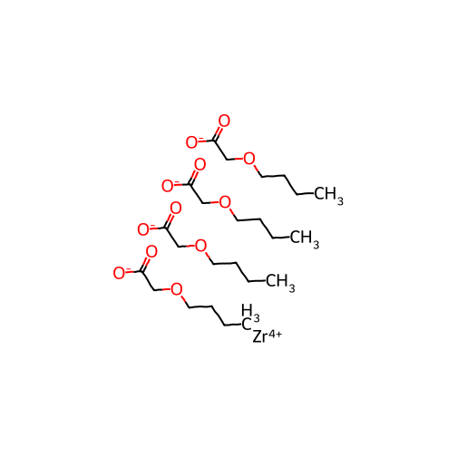 CCCCOCC(=O)[O-].CCCCOCC(=O)[O-].CCCCOCC(=O)[O-].CCCCOCC(=O)[O-].[Zr+4]